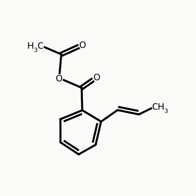 CC=Cc1ccccc1C(=O)OC(C)=O